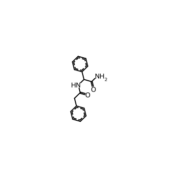 NC(=O)C(NC(=O)Cc1ccccc1)c1ccccc1